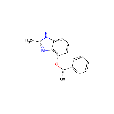 Cc1nc2c(OC(C)c3ccccc3)cccc2[nH]1